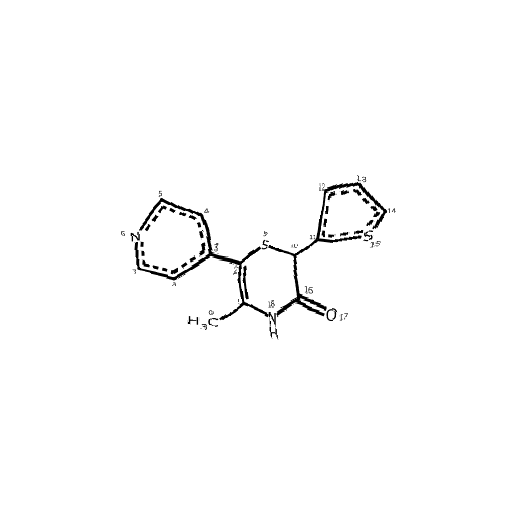 CC1=C(c2ccncc2)SC(c2cccs2)C(=O)N1